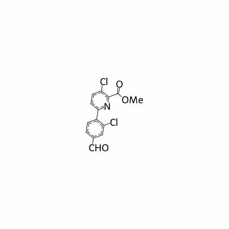 COC(=O)c1nc(-c2ccc(C=O)cc2Cl)ccc1Cl